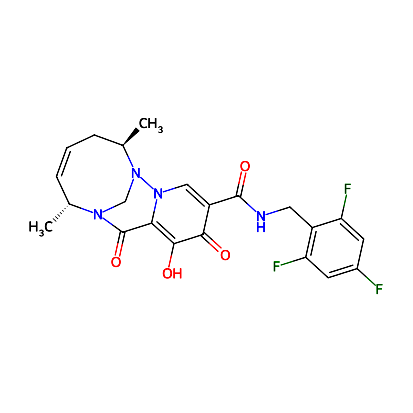 C[C@@H]1C=CC[C@@H](C)N2CN1C(=O)c1c(O)c(=O)c(C(=O)NCc3c(F)cc(F)cc3F)cn12